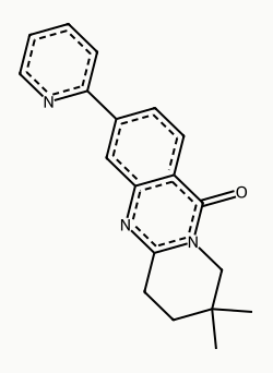 CC1(C)CCc2nc3cc(-c4ccccn4)ccc3c(=O)n2C1